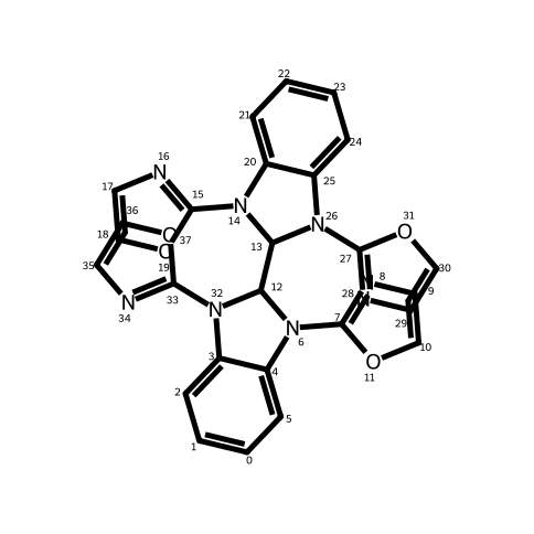 c1ccc2c(c1)N(c1ncco1)C(C1N(c3ncco3)c3ccccc3N1c1ncco1)N2c1ncco1